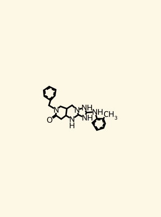 Cc1ccccc1NC1NC2NC3CC(=O)N(Cc4ccccc4)CC3CN2N1